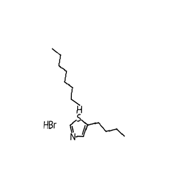 Br.CCCCCCCC[SH]1C=NC=C1CCCC